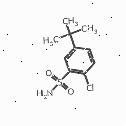 CC(C)(C)c1ccc(Cl)c(S(N)(=O)=O)c1